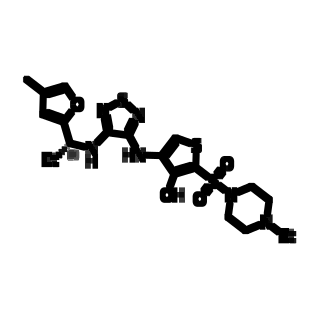 CC[C@@H](Nc1nsnc1Nc1csc(S(=O)(=O)N2CCN(CC)CC2)c1O)c1cc(C)co1